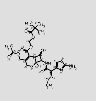 CO/N=C(\C(=O)NC1C(=O)N2C(C(=O)OCOC(=O)C(C)(C)C)=C(COC(N)=O)CS[C@@H]12)c1csc(N)n1